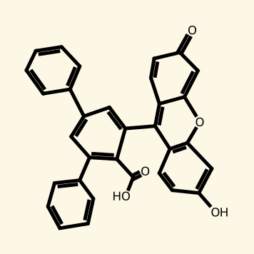 O=C(O)c1c(-c2ccccc2)cc(-c2ccccc2)cc1-c1c2ccc(=O)cc-2oc2cc(O)ccc12